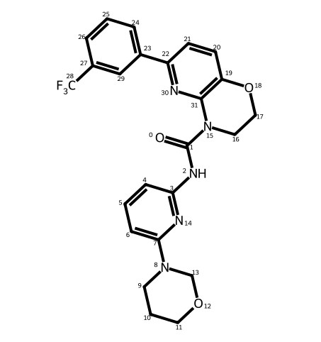 O=C(Nc1cccc(N2CCCOC2)n1)N1CCOc2ccc(-c3cccc(C(F)(F)F)c3)nc21